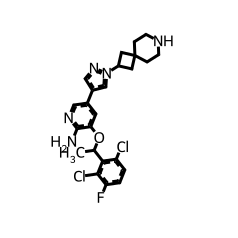 CC(Oc1cc(-c2cnn(C3CC4(CCNCC4)C3)c2)cnc1N)c1c(Cl)ccc(F)c1Cl